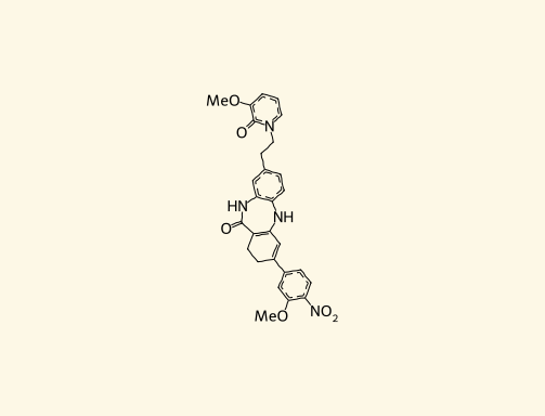 COc1cc(C2=CC3=C(CC2)C(=O)Nc2cc(CCn4cccc(OC)c4=O)ccc2N3)ccc1[N+](=O)[O-]